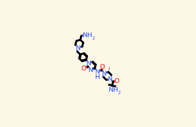 C[C@@H]1CN(C(=O)C(C)(C)N)CCN1C(=O)Nc1ccn(-c2ccc(CN3CCC(CN)CC3)cc2)c(=O)n1